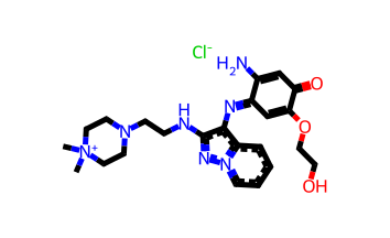 C[N+]1(C)CCN(CCNc2nn3ccccc3c2N=C2C=C(OCCO)C(=O)C=C2N)CC1.[Cl-]